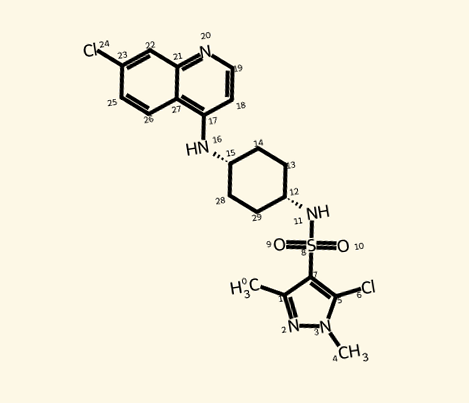 Cc1nn(C)c(Cl)c1S(=O)(=O)N[C@H]1CC[C@@H](Nc2ccnc3cc(Cl)ccc23)CC1